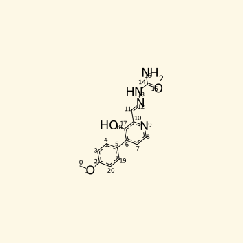 COc1ccc(-c2ccnc(C=NNC(N)=O)c2O)cc1